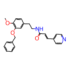 COc1ccc(CCNC(=O)C=Cc2ccncc2)cc1OCc1ccccc1